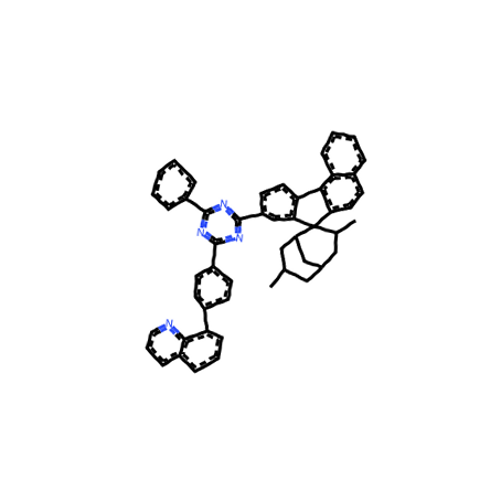 CC1CC2CC(C)C3(c4cc(-c5nc(-c6ccccc6)nc(-c6ccc(-c7cccc8cccnc78)cc6)n5)ccc4-c4c3ccc3ccccc43)C(C1)C2